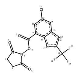 O=C(ON1C(=O)CCC1=O)c1cc(Cl)cc2[nH]c(C(F)(F)F)nc12